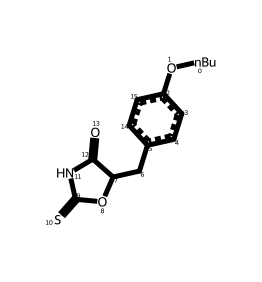 CCCCOc1ccc(CC2OC(=S)NC2=O)cc1